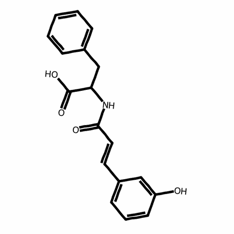 O=C(C=Cc1cccc(O)c1)NC(Cc1ccccc1)C(=O)O